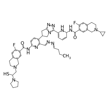 CCC/C=N/N=C/c1nc(NC(=O)c2cc3c(cc2F)CCN(CC(S)N2CCCC2)C3)ccc1C1Cc2nnc(C3=CC=CC(NC(=O)c4cc5c(cc4F)CCN(C4CC4)C5)N3)n2C1